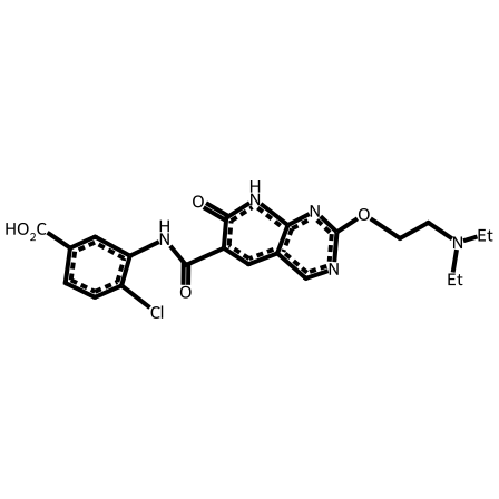 CCN(CC)CCOc1ncc2cc(C(=O)Nc3cc(C(=O)O)ccc3Cl)c(=O)[nH]c2n1